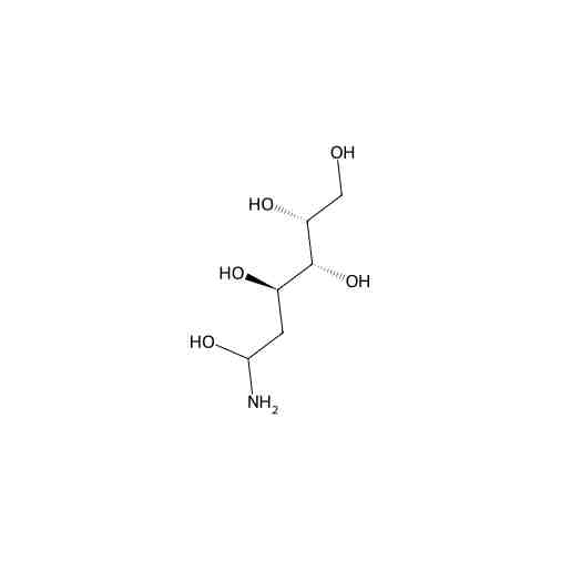 NC(O)C[C@@H](O)[C@@H](O)[C@H](O)CO